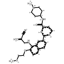 C=C(C#N)CNc1c(OCCOC)ccc2ccc(-c3nccc(C(=O)NC4CCN(C)CC4)n3)cc12